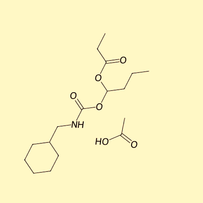 CC(=O)O.CCCC(OC(=O)CC)OC(=O)NCC1CCCCC1